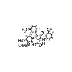 COC(=O)C1=C(Nc2cccc(C(F)(F)F)c2)C(=O)N(c2cccc(C(F)(F)F)c2)C1c1ccc(O)c(OC)c1